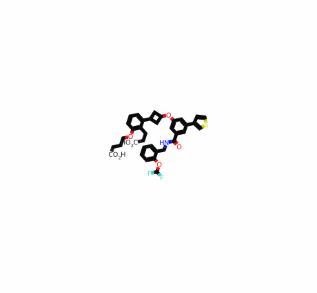 O=C(O)CCCOc1cccc(C2CC(Oc3cc(C(=O)NCc4ccccc4OC(F)F)cc(-c4ccsc4)c3)C2)c1CCC(=O)O